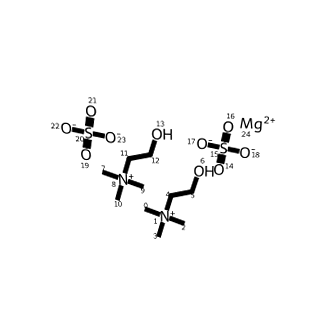 C[N+](C)(C)CCO.C[N+](C)(C)CCO.O=S(=O)([O-])[O-].O=S(=O)([O-])[O-].[Mg+2]